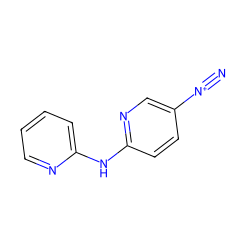 N#[N+]c1ccc(Nc2ccccn2)nc1